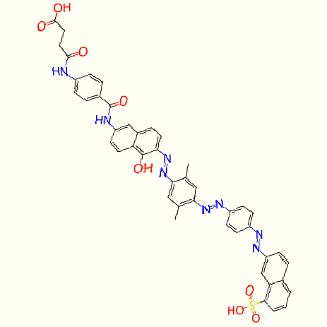 Cc1cc(N=Nc2ccc3cc(NC(=O)c4ccc(NC(=O)CCC(=O)O)cc4)ccc3c2O)c(C)cc1N=Nc1ccc(N=Nc2ccc3cccc(S(=O)(=O)O)c3c2)cc1